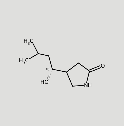 CC(C)C[C@@H](O)C1CNC(=O)C1